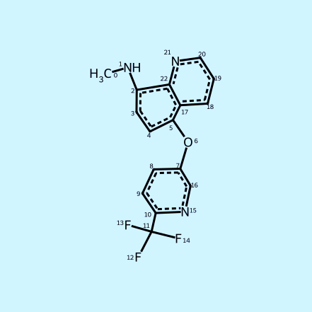 CNc1ccc(Oc2ccc(C(F)(F)F)nc2)c2cccnc12